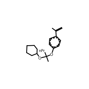 C=C(C)c1ccc(OC(C)(CCC)OC2CCCCC2)cc1